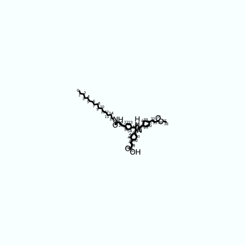 CCCCCCCCCCCCCCCCNC(=O)/C=C/c1ccc(-c2[nH]c(-c3ccc(/C=C/C(=O)OCC)cc3)nc2-c2ccc(/C=C/C(=O)O)cc2)cc1